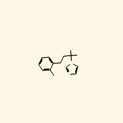 Cc1ccccc1CCC(O)(n1ccnc1)C(C)(C)C